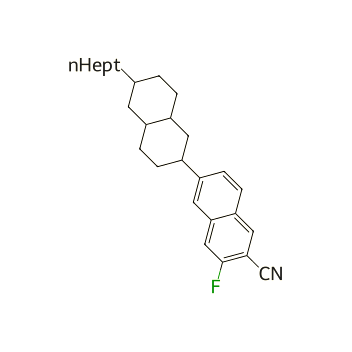 CCCCCCCC1CCC2CC(c3ccc4cc(C#N)c(F)cc4c3)CCC2C1